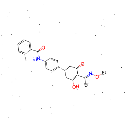 CCON=C(CC)C1=C(O)CC(c2ccc(NC(=O)c3ccccc3C)cc2)CC1=O